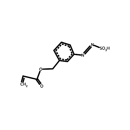 C=CC(=O)OCc1cccc(/N=N/S(=O)(=O)O)c1